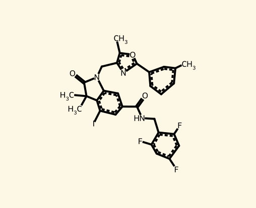 Cc1cccc(-c2nc(CN3C(=O)C(C)(C)c4c(I)cc(C(=O)NCc5c(F)cc(F)cc5F)cc43)c(C)o2)c1